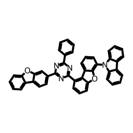 c1ccc(-c2nc(-c3ccc4c(c3)oc3ccccc34)nc(-c3cccc4oc5c(-n6c7ccccc7c7ccccc76)cccc5c34)n2)cc1